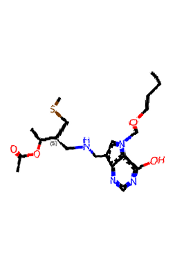 CCCCOCn1cc(CNC[C@H](CSC)C(C)OC(C)=O)c2ncnc(O)c21